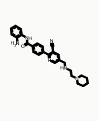 N#Cc1cc(CNCCN2CCCCC2)cnc1-c1ccc(C(=O)Nc2ccccc2N)cc1